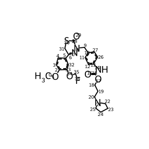 COc1ccc(C2=NN(Cc3ccc(NC(=O)OCCCN4CCCC4)cc3)C(=O)SC2)cc1OCF